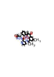 Cc1cc([C@@H](C)Nc2cccnc2C(=O)NCC2COC2)c2oc(-c3ccccc3)c(C)c(=O)c2c1